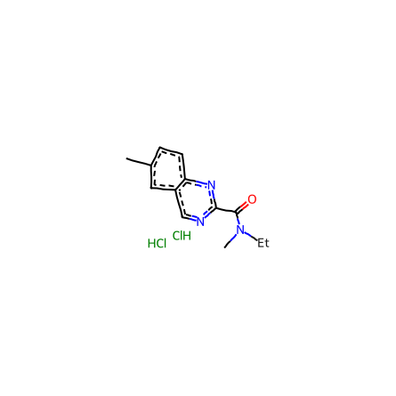 CCN(C)C(=O)c1ncc2cc(C)ccc2n1.Cl.Cl